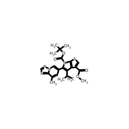 COC(=O)c1csc2c1c(C(C)C)c(-c1cc(C)c3ncnn3c1)n2C(=O)OC(C)(C)C